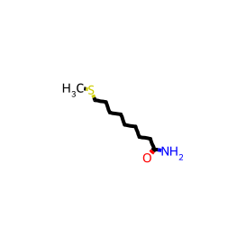 CSCCCCCCCCC(N)=O